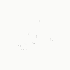 C[C@H]1C[C@@H](Oc2nc(Nc3cnn(C(F)F)c3)nc3[nH]cc(Cl)c23)CN1